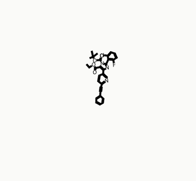 CCOC(=O)c1c(-c2ccc(C#Cc3ccccc3)nc2)nc(-c2c(F)cccc2Cl)n1C(=O)OC(C)(C)C